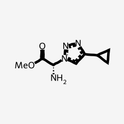 COC(=O)[C@@H](N)n1cc(C2CC2)nn1